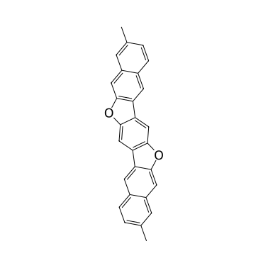 Cc1ccc2cc3c(cc2c1)oc1cc2c(cc13)oc1cc3cc(C)ccc3cc12